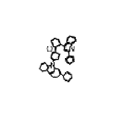 C1=CCC(C2=CC3C=C(C=C2)C2=C(C=CCC2)N3c2ccc3c(c2)oc2cccc(-c4cc(-c5ccccc5)nc5ccccc45)c23)C=C1